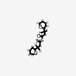 CC(C)(CC(=O)SC(=S)CC(C)(C)C1CCCCO1)C1CCCCO1